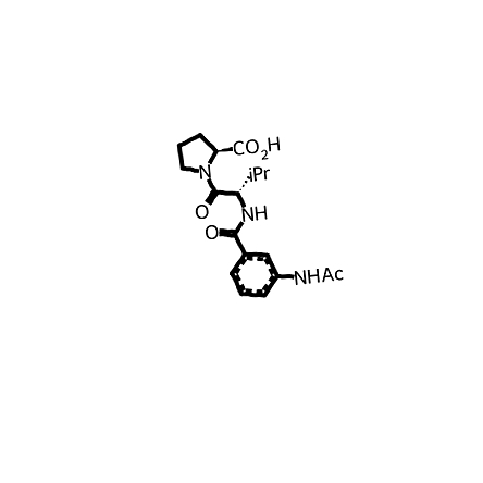 CC(=O)Nc1cccc(C(=O)N[C@H](C(=O)N2CCC[C@H]2C(=O)O)C(C)C)c1